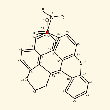 CN(C)c1ccc2c3c(ccc2c1)SCC/C3=C1\c2ccccc2Sc2ccc([N+](=O)[O-])cc21